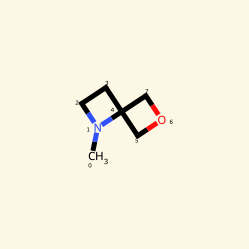 CN1CCC12COC2